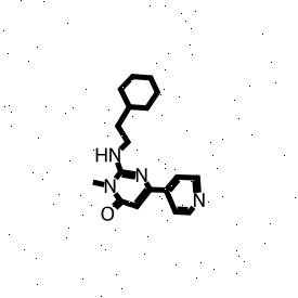 Cn1c(NCCC2CCCCC2)nc(-c2ccncc2)cc1=O